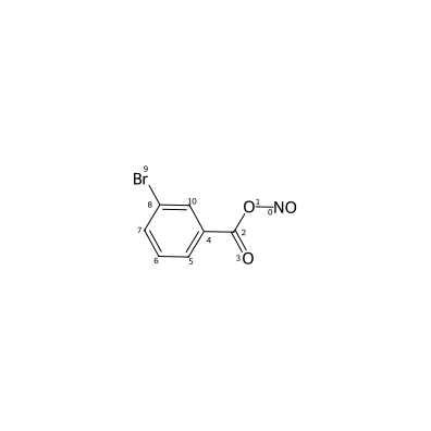 O=NOC(=O)c1cccc(Br)c1